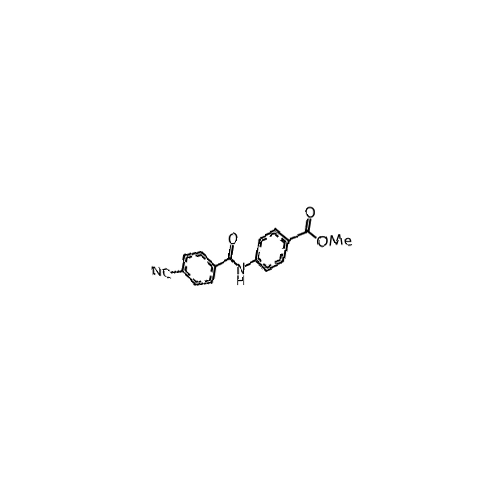 COC(=O)c1ccc(NC(=O)c2ccc(C#N)cc2)cc1